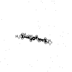 C=C(C)C(=O)OCCCC(O)COC(=O)c1ccc(C(=O)OCC(O)CCCOC(=O)C(=C)C)cc1